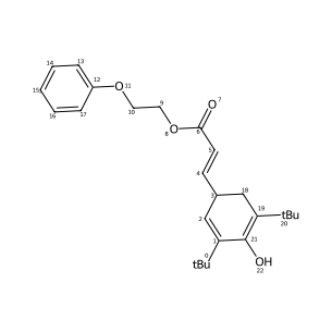 CC(C)(C)C1=CC(C=CC(=O)OCCOc2cc[c]cc2)CC(C(C)(C)C)=C1O